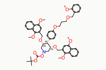 COc1ccccc1COCCCOc1ccc([C@H]2[C@@H](OCc3cc(OC)c4ccccc4c3OC)CN(OC(=O)OC(C)(C)C)C[C@H]2OCc2cc(OC)c3ccccc3c2OC)cc1